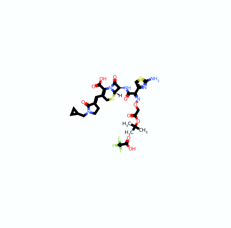 CC(C)(C)OC(=O)CO/N=C(\C(=O)N[C@@H]1C(=O)N2C(C(=O)O)=C(/C=C3\CCN(CC4CC4)C3=O)CS[C@H]12)c1csc(N)n1.O=C(O)C(F)(F)F